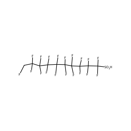 O=S(=O)(O)C(F)(F)C(F)(F)C(F)(F)C(F)(F)C(F)(F)C(F)(F)C(F)(F)C(F)(F)C(F)(F)CF